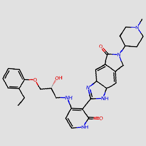 CCc1ccccc1OC[C@H](O)CNc1cc[nH]c(=O)c1C1=NC2C=C3C(=O)N(C4CCN(C)CC4)CC3=CC2N1